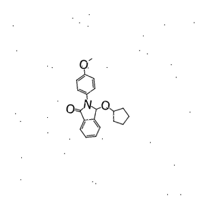 COc1ccc(N2C(=O)c3ccccc3C2OC2CCCC2)cc1